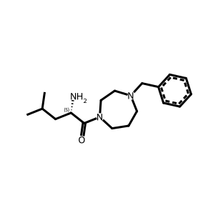 CC(C)C[C@H](N)C(=O)N1CCCN(Cc2ccccc2)CC1